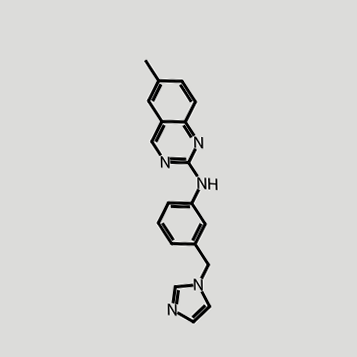 Cc1ccc2nc(Nc3cccc(Cn4ccnc4)c3)ncc2c1